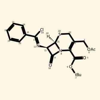 CC(=O)OCC1=C(C(=O)OC(C)(C)C)N2C(=O)[C@@H](N=C(Cl)c3ccccc3)[C@H]2SC1